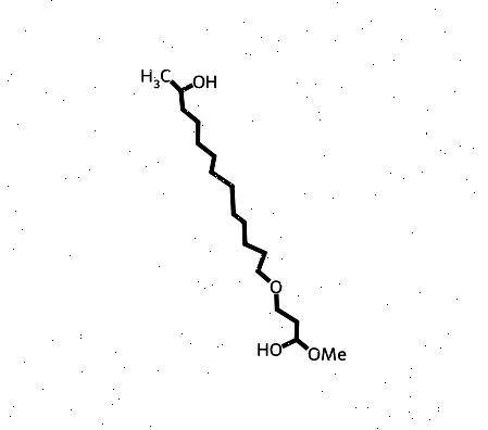 COC(O)CCOCCCCCCCCCCCC(C)O